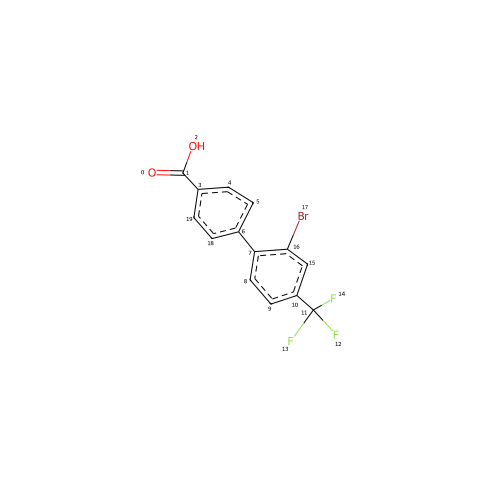 O=C(O)c1ccc(-c2ccc(C(F)(F)F)cc2Br)cc1